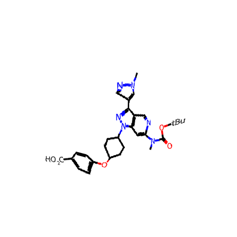 CN(C(=O)OC(C)(C)C)c1cc2c(cn1)c(-c1cnn(C)c1)nn2C1CCC(Oc2ccc(C(=O)O)cc2)CC1